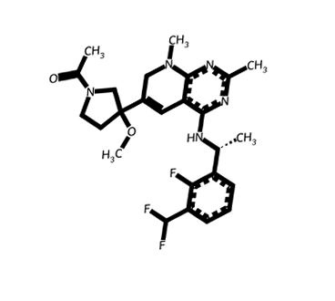 COC1(C2=Cc3c(N[C@H](C)c4cccc(C(F)F)c4F)nc(C)nc3N(C)C2)CCN(C(C)=O)C1